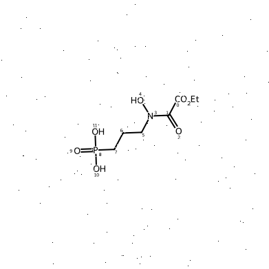 CCOC(=O)C(=O)N(O)CCCP(=O)(O)O